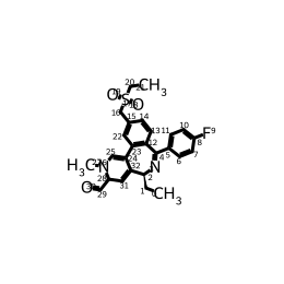 CC[C@@H]1N=C(c2ccc(F)cc2)c2ccc(CS(=O)(=O)CC)cc2C2=CN(C)C(C=O)C=C21